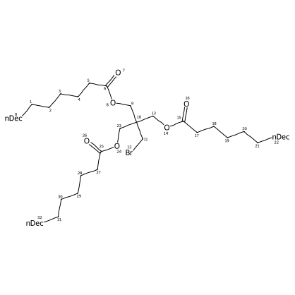 CCCCCCCCCCCCCCCC(=O)OCC(CBr)(COC(=O)CCCCCCCCCCCCCCC)COC(=O)CCCCCCCCCCCCCCC